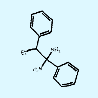 CCC(c1ccccc1)C(N)(N)c1ccccc1